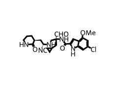 COc1cc(Cl)cc2[nH]c(C(=O)N[C@](C=O)(CN[C@H](C#N)C[C@@H]3CCCNC3=O)CC3CC3)cc12